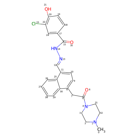 CN1CCN(C(=O)Cc2ccc(/C=N/NC(=O)c3ccc(O)c(Cl)c3)c3ccccc23)CC1